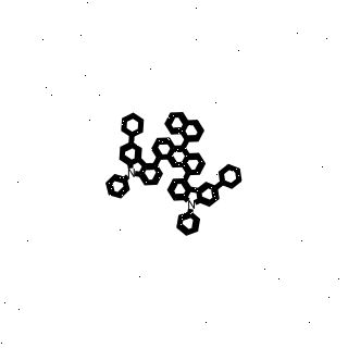 c1ccc(-n2c3ccc(C4CCCCC4)cc3c3c(-c4cccc5c(-c6cccc7ccccc67)c6cccc(-c7cccc8c7c7cc(C9CCCCC9)ccc7n8-c7ccccc7)c6cc45)cccc32)cc1